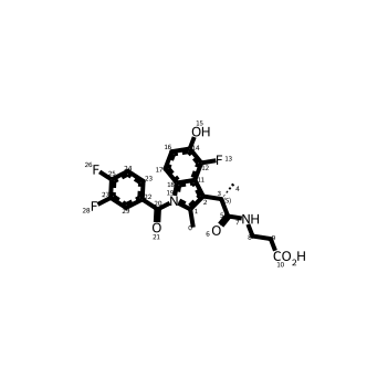 Cc1c([C@H](C)C(=O)NCCC(=O)O)c2c(F)c(O)ccc2n1C(=O)c1ccc(F)c(F)c1